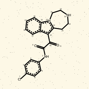 O=C(Nc1ccc(Cl)cc1)C(=O)c1c2n(c3ccccc13)CCNCC2